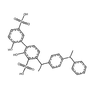 CC(c1ccccc1)c1ccc(C(C)c2ccc(-c3cc(S(=O)(=O)O)ccc3O)c(O)c2S(=O)(=O)O)cc1